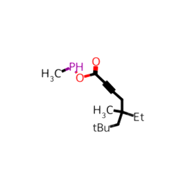 CCC(C)(CC#CC(=O)OPC)CC(C)(C)C